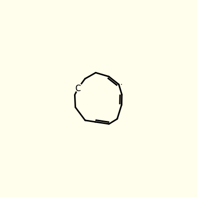 [C]1=CCCCCCCC=CCC=C1